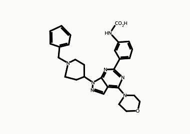 O=C(O)Nc1cccc(-c2nc(N3CCOCC3)c3cnn(C4CCN(Cc5ccccc5)CC4)c3n2)c1